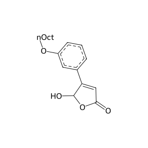 CCCCCCCCOc1cccc(C2=CC(=O)OC2O)c1